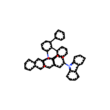 c1ccc(-c2ccccc2-c2c(-c3ccccc3)cccc2N(c2ccc(-n3c4ccccc4c4ccccc43)cc2)c2ccc3ccccc3c2)cc1